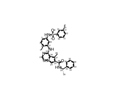 Cc1ccc(NS(=O)(=O)c2cccc(F)c2)cc1Nc1ncnn2cc(C(=O)N[C@@H](C)c3ccccc3)c(C)c12